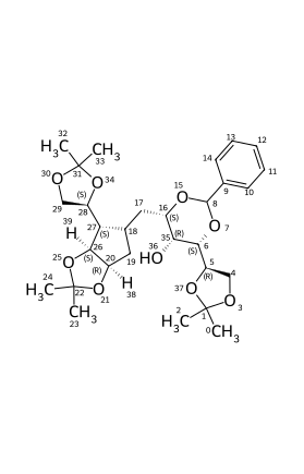 CC1(C)OC[C@H]([C@H]2OC(c3ccccc3)O[C@@H](CC3C[C@H]4OC(C)(C)O[C@H]4[C@@H]3[C@H]3COC(C)(C)O3)[C@H]2O)O1